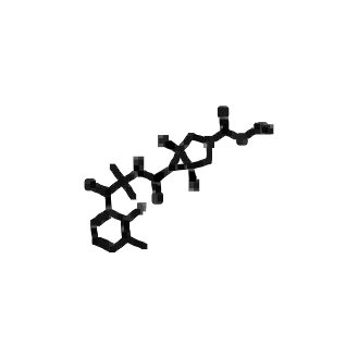 Cc1cccc(C(=O)C(C)(C)NC(=O)[C@H]2[C@@H]3CN(C(=O)OC(C)(C)C)C[C@@H]32)c1F